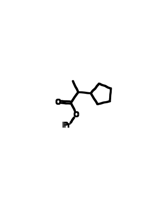 CC(C)OC(=O)C(C)C1CCCC1